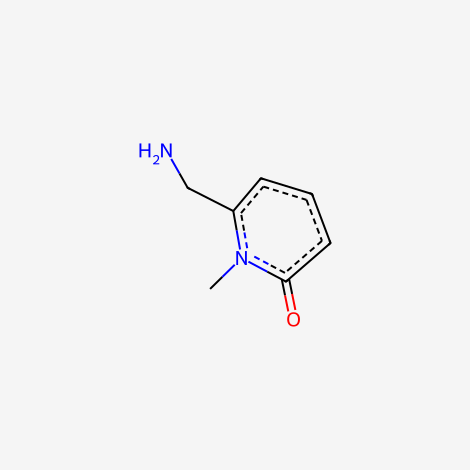 Cn1c(CN)cccc1=O